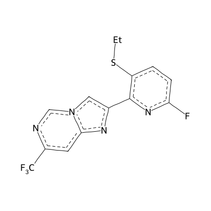 CCSc1ccc(F)nc1-c1cn2cnc(C(F)(F)F)cc2n1